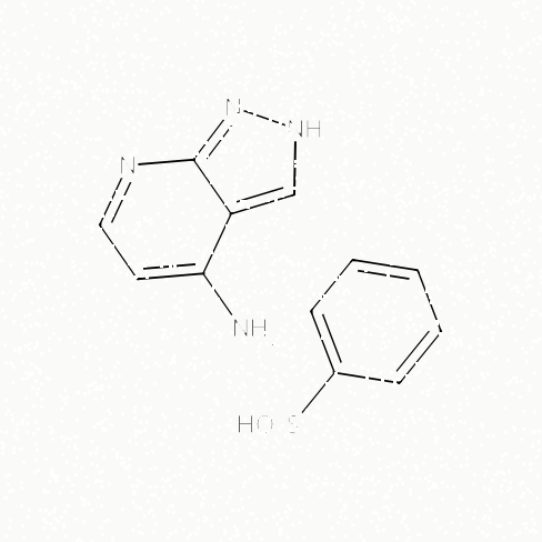 Nc1ccnc2n[nH]cc12.O=S(=O)(O)c1ccccc1